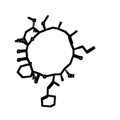 C=CC[C@@H]1/C=C(\C)C[C@H](C)C[C@H](OC)[C@H]2O[C@@](O)(C(=O)C(=O)N3CCCC[C@H]3C(=O)O[C@H](/C(C)=C/C3=CCCCC3)[C@H](C)[C@@H](O)CC1=O)[C@H](C)C[C@@H]2OC